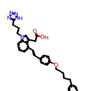 O=C(O)Cc1cn(CCCc2nnn[nH]2)c2cccc(C=Cc3ccc(OCCCCc4ccccc4)cc3)c12